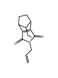 C=CCN1C(=O)C2=C(C1=O)C1CCC2C1CC